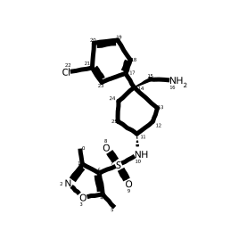 Cc1noc(C)c1S(=O)(=O)N[C@H]1CC[C@@](CN)(c2cccc(Cl)c2)CC1